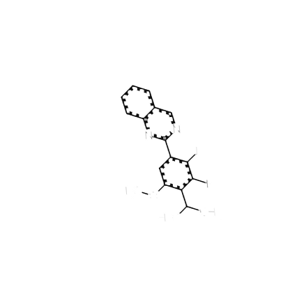 COc1cc(-c2ncc3ccccc3n2)c(F)c(F)c1C(C)C